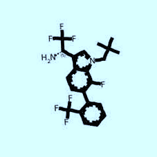 CC(C)(C)Cn1cc([C@H](N)C(F)(F)F)c2ccc(-c3ccccc3C(F)(F)F)c(F)c21